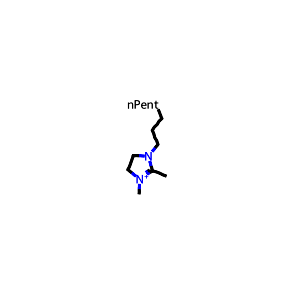 CCCCCCCCN1CC[N+](C)=C1C